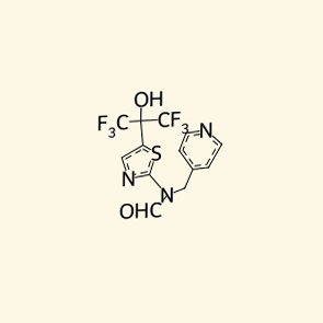 O=CN(Cc1ccncc1)c1ncc(C(O)(C(F)(F)F)C(F)(F)F)s1